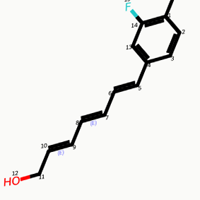 Cc1ccc(C=C/C=C/C=C/CO)cc1F